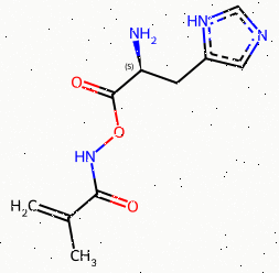 C=C(C)C(=O)NOC(=O)[C@@H](N)Cc1cnc[nH]1